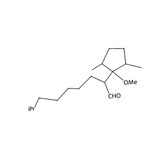 COC1(C(C=O)CCCCCC(C)C)C(C)CCC1C